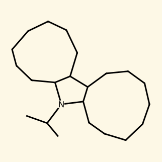 CC(C)N1C2CCCCCCCCC2C2CCCCCCCC21